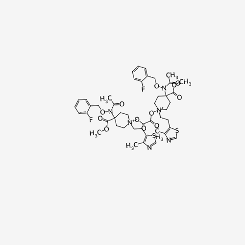 COC(=O)C1(N(OCc2ccccc2F)C(C)=O)CC[N+](CCc2scnc2C)(OC(=O)C(=O)O[N+]2(CCc3scnc3C)CCC(C(=O)OC)(N(OCc3ccccc3F)C(C)=O)CC2)CC1